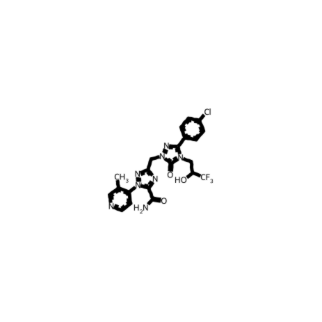 Cc1cnccc1-n1nc(Cn2nc(-c3ccc(Cl)cc3)n(CC(O)C(F)(F)F)c2=O)nc1C(N)=O